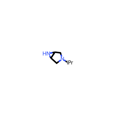 CC(C)N1CC2NC2C1